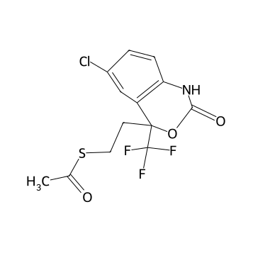 CC(=O)SCCC1(C(F)(F)F)OC(=O)Nc2ccc(Cl)cc21